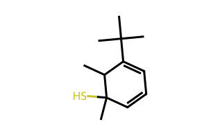 CC1C(C(C)(C)C)=CC=CC1(C)S